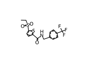 CCS(=O)(=O)c1ccc(C(=O)NCc2ccc(C(F)(F)F)cc2)s1